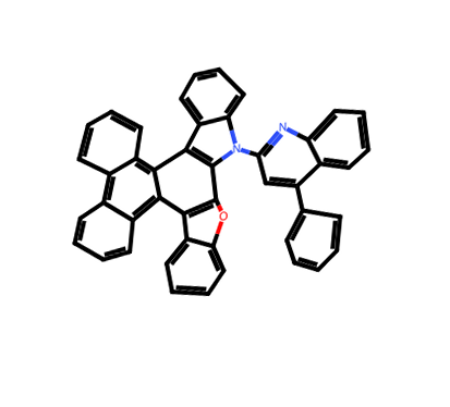 c1ccc(-c2cc(-n3c4ccccc4c4c5c6ccccc6c6ccccc6c5c5c6ccccc6oc5c43)nc3ccccc23)cc1